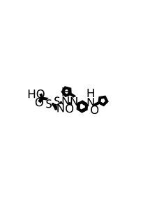 O=C(O)CSc1cnc(NC(=O)N(CC2CCCC2)c2cccc(NC(=O)C3CCCC3)c2)s1